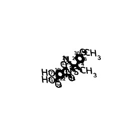 COc1ccc(-c2c(C)sc(N3C(=O)c4cc(O)c(C(=O)O)cc4C3=O)c2C#N)cc1